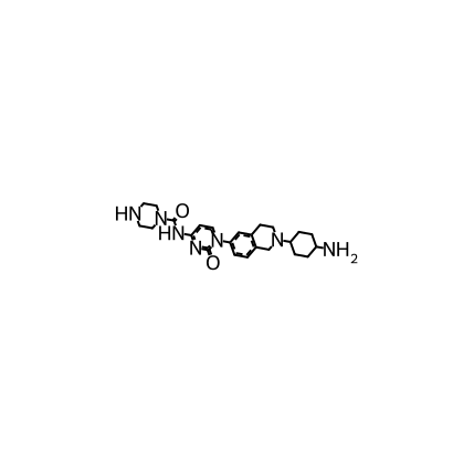 NC1CCC(N2CCc3cc(-n4ccc(NC(=O)N5CCNCC5)nc4=O)ccc3C2)CC1